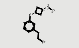 CC(C)CCc1cccc(O[C@H]2C[C@@H](NC(C)(C)C)C2)c1